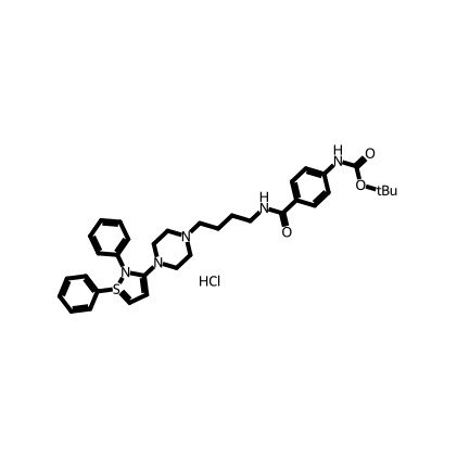 CC(C)(C)OC(=O)Nc1ccc(C(=O)NCCCCN2CCN(C3=CC=S(c4ccccc4)N3c3ccccc3)CC2)cc1.Cl